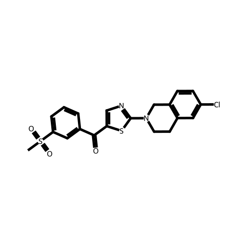 CS(=O)(=O)c1cccc(C(=O)c2cnc(N3CCc4cc(Cl)ccc4C3)s2)c1